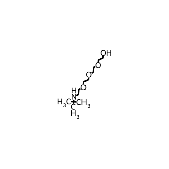 CC(C)(C)NCCOCCOCCOCCO